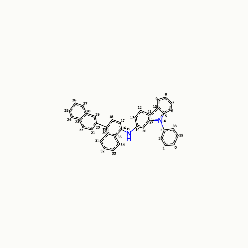 c1ccc(-n2c3ccccc3c3ccc(Nc4ccc(-c5ccc6ccccc6c5)c5ccccc45)cc32)cc1